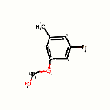 Cc1cc(Br)cc(OBO)c1